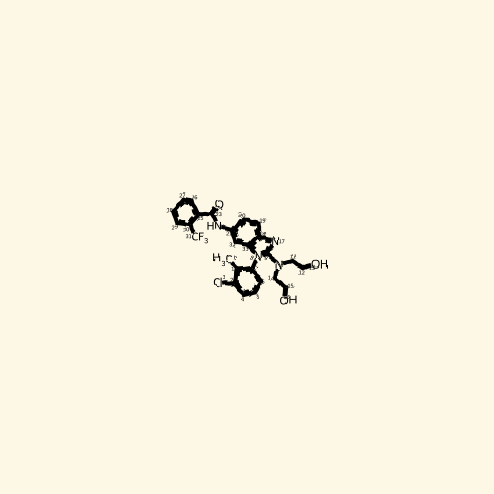 Cc1c(Cl)cccc1-n1c(N(CCO)CCO)nc2ccc(NC(=O)c3ccccc3C(F)(F)F)cc21